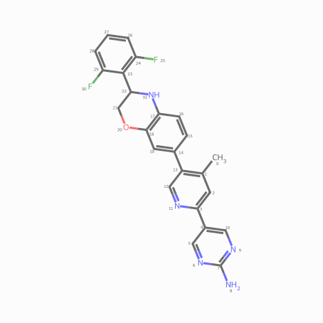 Cc1cc(-c2cnc(N)nc2)ncc1-c1ccc2c(c1)OCC(c1c(F)cccc1F)N2